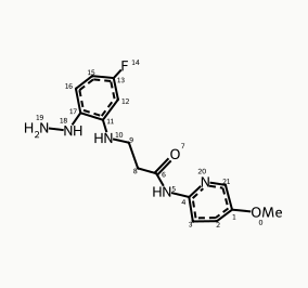 COc1ccc(NC(=O)CCNc2cc(F)ccc2NN)nc1